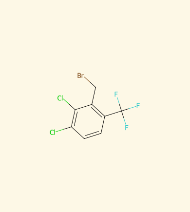 FC(F)(F)c1ccc(Cl)c(Cl)c1CBr